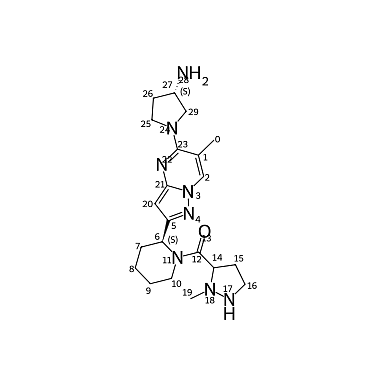 Cc1cn2nc([C@@H]3CCCCN3C(=O)C3CCNN3C)cc2nc1N1CC[C@H](N)C1